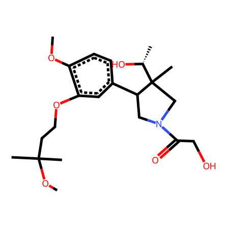 COc1ccc(C2CN(C(=O)CO)CC2(C)[C@@H](C)O)cc1OCCC(C)(C)OC